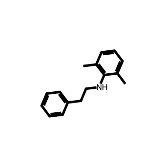 Cc1cccc(C)c1NCCc1ccccc1